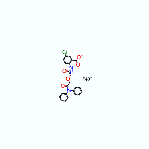 O=C(COCC(=O)N(c1ccccc1)c1ccccc1)Nc1ccc(Cl)cc1C(=O)[O-].[Na+]